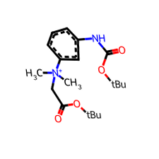 CC(C)(C)OC(=O)C[N+](C)(C)c1cccc(NC(=O)OC(C)(C)C)c1